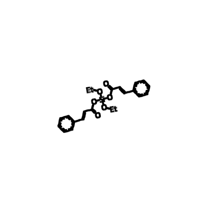 CCO[Si](OCC)(OC(=O)/C=C/c1ccccc1)OC(=O)/C=C/c1ccccc1